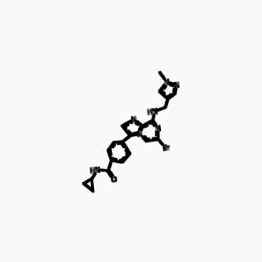 Cn1cc(CNc2nc(Br)cn3c(-c4ccc(C(=O)NC5CC5)cc4)cnc23)cn1